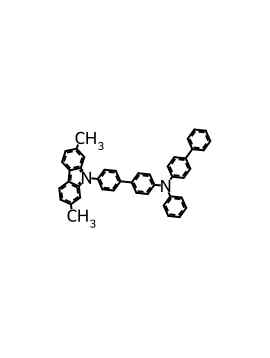 Cc1ccc2c3ccc(C)cc3n(-c3ccc(-c4ccc(N(c5ccccc5)c5ccc(-c6ccccc6)cc5)cc4)cc3)c2c1